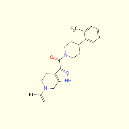 C=C(CC)N1CCc2c(C(=O)N3CCC(c4ccccc4C(F)(F)F)CC3)n[nH]c2C1